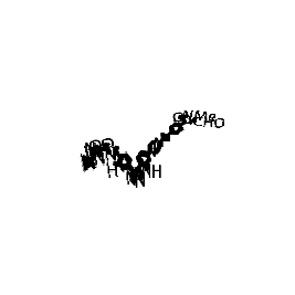 CNC(=O)[C@@H](CCC=O)c1ccc(C2CC(N3CCN(c4ccc5c(c4)[nH]c4ncnc(-c6ccc(C(C)NC(=O)c7nc(C8(C)CC8)no7)c(C)c6)c45)CC3)C2)cc1